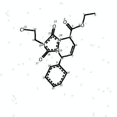 CCOC(=O)[C@H]1C=C[C@@H](c2ccccc2)n2c(=O)n(CCCl)c(=O)n21